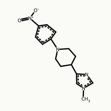 Cn1cnc(C2CCN(c3ccc([N+](=O)[O-])cc3)CC2)c1